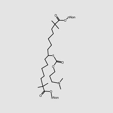 CCCCCCCCCOC(=O)C(C)(C)CCCCCC(CCCCCC(C)(C)C(=O)OCCCCCCCCC)SC(=O)OCCCN(C)C